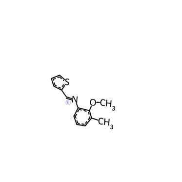 COc1c(C)cccc1/N=C/c1cccs1